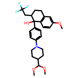 COc1ccc2c(c1)CCC(CC(F)(F)F)C2(O)c1ccc(N2CCC(C(OC)OC)CC2)cc1